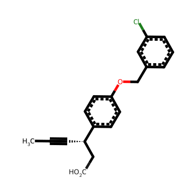 CC#C[C@@H](CC(=O)O)c1ccc(OCc2cccc(Cl)c2)cc1